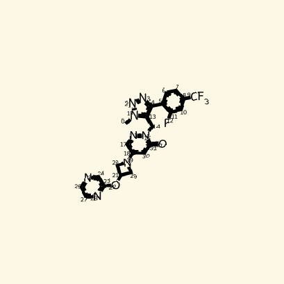 Cn1nnc(-c2ccc(C(F)(F)F)cc2F)c1Cn1ncc(N2CC(Oc3cnccn3)C2)cc1=O